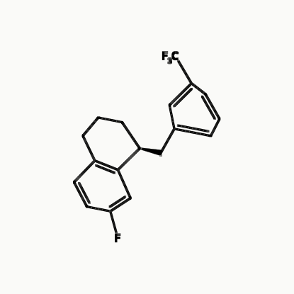 Fc1ccc2c(c1)[C@H]([CH]c1cccc(C(F)(F)F)c1)CCC2